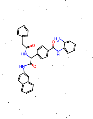 Nc1ccccc1NC(=O)c1ccc(C(NC(=O)Cc2ccccc2)C(=O)Nc2ccc3ccccc3c2)cc1